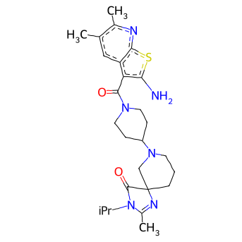 CC1=NC2(CCCN(C3CCN(C(=O)c4c(N)sc5nc(C)c(C)cc45)CC3)C2)C(=O)N1C(C)C